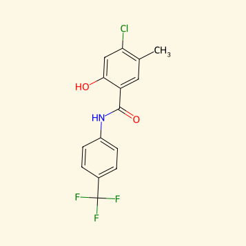 Cc1cc(C(=O)Nc2ccc(C(F)(F)F)cc2)c(O)cc1Cl